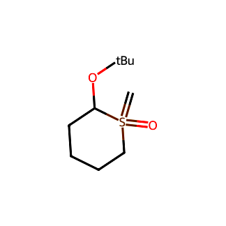 C=S1(=O)CCCCC1OC(C)(C)C